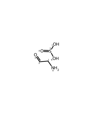 NCC=O.O=S(O)O